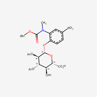 CC(=O)O[C@@H]1[C@@H](OC(C)=O)[C@H](Oc2ccc([N+](=O)[O-])cc2N(C)C(=O)OC(C)(C)C)O[C@H](C(=O)O)[C@H]1OC(C)=O